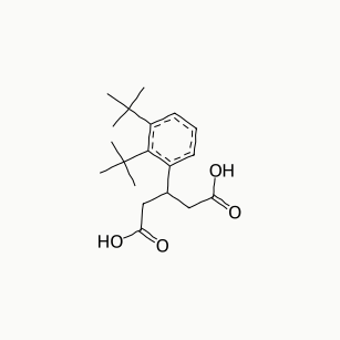 CC(C)(C)c1cccc(C(CC(=O)O)CC(=O)O)c1C(C)(C)C